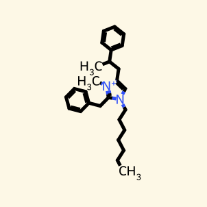 CCCCCCCn1cc(CC(C)c2ccccc2)[n+](C)c1Cc1ccccc1